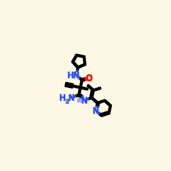 C#CC(C)(C(=O)NC1CCCC1)/C(N)=N\C(C1=NC=CCC1)=C(C)C